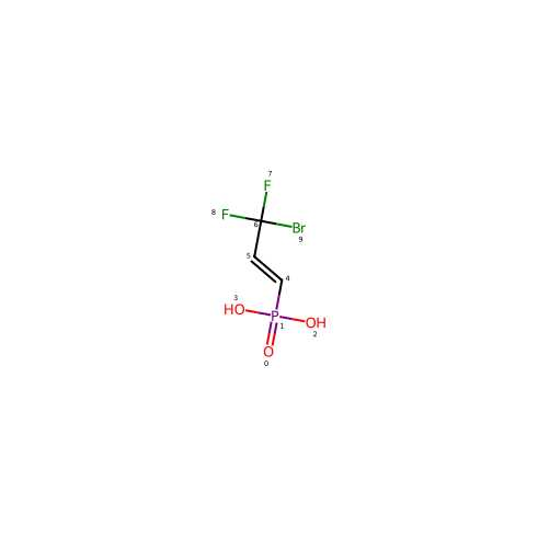 O=P(O)(O)C=CC(F)(F)Br